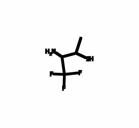 CC(S)C(N)C(F)(F)F